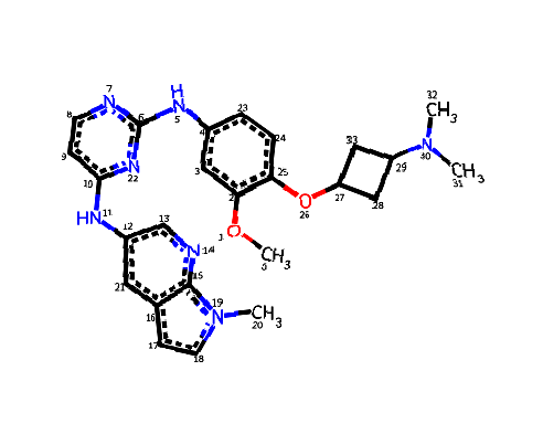 COc1cc(Nc2nccc(Nc3cnc4c(ccn4C)c3)n2)ccc1OC1CC(N(C)C)C1